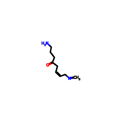 C=NC/C=C\CC(=O)CCCN